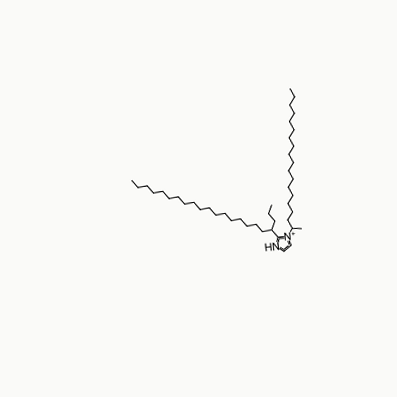 CCCCCCCCCCCCCCCCCCC(CCC)c1[nH]cc[n+]1C(C)CCCCCCCCCCCCCCCCC